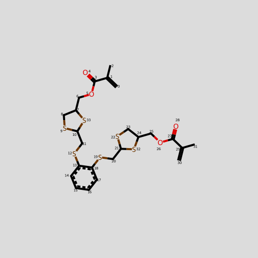 C=C(C)C(=O)OCC1CSC(CSc2ccccc2SCC2SCC(COC(=O)C(=C)C)S2)S1